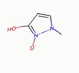 Cn1ccc(O)[n+]1[O-]